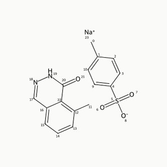 Cc1ccc(S(=O)(=O)[O-])cc1.Cc1cccc2cn[nH]c(=O)c12.[Na+]